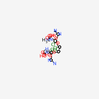 CC(CO)(NCc1cc(Cl)c(OCc2cccc(-c3cccc(COc4cc(OCc5cncc(C6C=N6)c5)c(CNC(C)(CO)C(=O)O)cc4Cl)c3Cl)c2Cl)cc1OCc1cncc(C#N)c1)C(=O)O